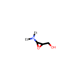 CCN(CC)C1OC1CO